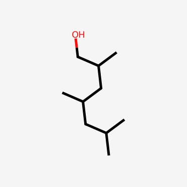 CC(C)CC(C)CC(C)CO